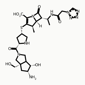 CC(NC(=O)Cn1cnnn1)[C@H]1C(=O)N2C(C(=O)O)=C(S[C@@H]3CN[C@H](C(=O)N4CC5[C@H](O)[C@H](N)C[C@@]5(CO)C4)C3)[C@H](C)[C@H]12